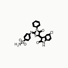 NS(=O)(=O)c1ccc(/N=C2\S/C(=C3\C(=O)Nc4ccc(Cl)cc43)C(=O)N2c2ccccc2)cc1